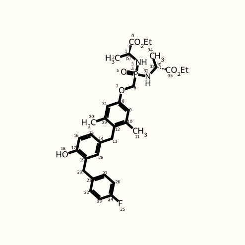 CCOC(=O)[C@H](C)NP(=O)(COc1cc(C)c(Cc2ccc(O)c(Cc3ccc(F)cc3)c2)c(C)c1)N[C@H](C)C(=O)OCC